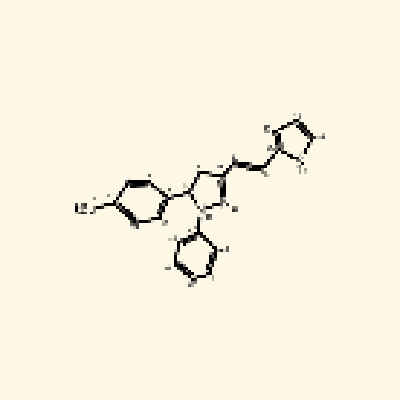 CC(C)(C)c1ccc(C2CC(C=Cc3cccs3)=NN2c2ccccc2)cc1